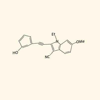 CCn1c(C#Cc2cccc(O)c2)c(C#N)c2ccc(OC)cc21